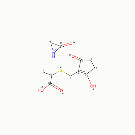 CC(SCC1=C(O)CCC1=O)C(=O)O.O=C1CN1